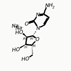 Nc1ccn([C@@H]2O[C@H](CO)[C@@H](O)[C@H]2O)c(=O)n1.[Na].[Na]